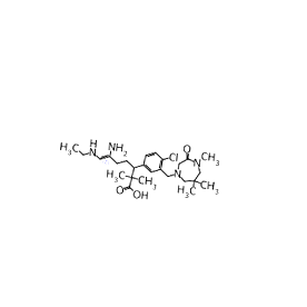 CCN/C=C(\N)CCC(c1ccc(Cl)c(CN2CC(=O)N(C)CC(C)(C)C2)c1)C(C)(C)C(=O)O